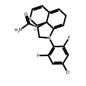 NC(=O)[C@@H]1CN(c2c(F)cc(Cl)cc2F)C2=CCC=C3C=CNCC321